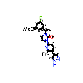 CCc1nc(N2CCN(C(C)c3cc(F)cc(OC)c3)C2=O)ccc1-c1cn[nH]c1